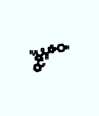 Nc1sc(-c2ccccc2F)nc1C(=O)Nc1cnn(C2CCNCC2)c1